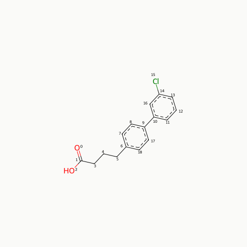 O=C(O)CCCc1ccc(-c2cccc(Cl)c2)cc1